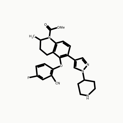 COC(=O)N1c2ccc(-c3cnn(C4CCNCC4)c3)c(Oc3ccc(F)cc3C#N)c2CCC1C